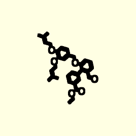 CCOC(=O)c1cccc(-c2c(C=O)cccc2OCc2ccc(OCC=C(C)C)c(OCC=C(C)C)c2)c1